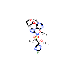 COc1ncnc(OC)c1-n1c(NS(=O)(=O)[C@@H](C)[C@H](OC)c2cnc(Cl)cn2)nnc1[C@@H]1CCCOC1